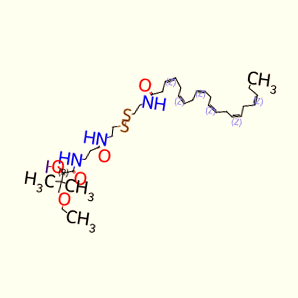 CC/C=C\C/C=C\C/C=C\C/C=C\C/C=C\C/C=C\CC(=O)NCCSSCCNC(=O)CCNC(=O)[C@H](OI)C(C)(C)COCC